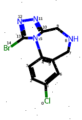 Clc1ccc2c(c1)CNCc1nnc(Br)n1-2